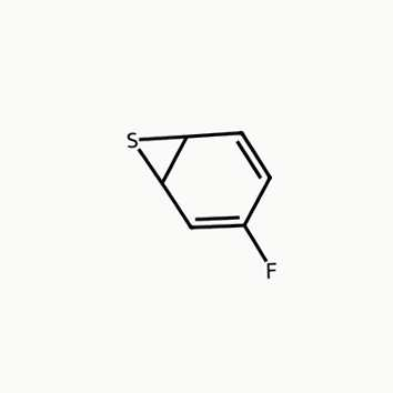 FC1=CC2SC2C=C1